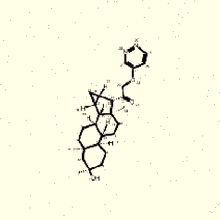 C[C@@]1(O)CC[C@H]2[C@H](CC[C@@H]3[C@@H]2CC[C@@]2(C)[C@H]3[C@@H]3C[C@@H]3[C@@H]2C(=O)COc2ccnnc2)C1